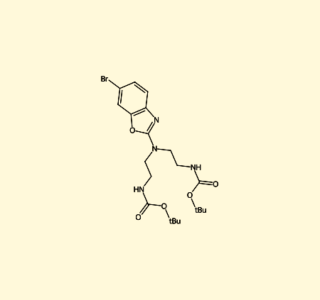 CC(C)(C)OC(=O)NCCN(CCNC(=O)OC(C)(C)C)c1nc2ccc(Br)cc2o1